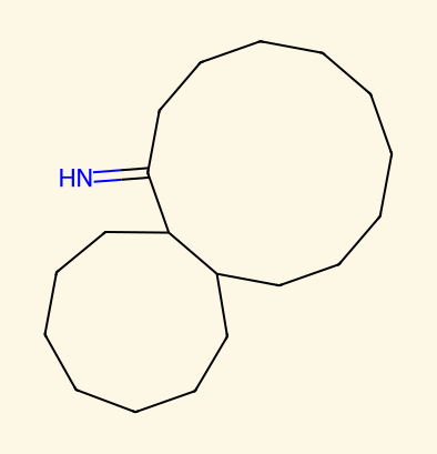 N=C1CCCCCCCCCC2CCCCCCCC12